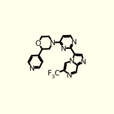 FC(F)(F)c1cn2c(-c3nccc(N4CCOC(c5ccncc5)C4)n3)cnc2cn1